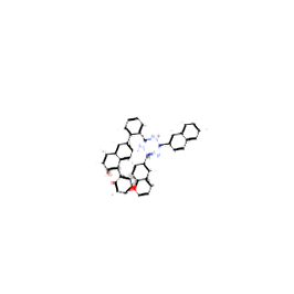 c1ccc(-c2nc(-c3ccc4ccccc4c3)nc(-c3ccc4ccccc4c3)n2)c(-c2ccc3c(ccc4oc5ccccc5c43)c2)c1